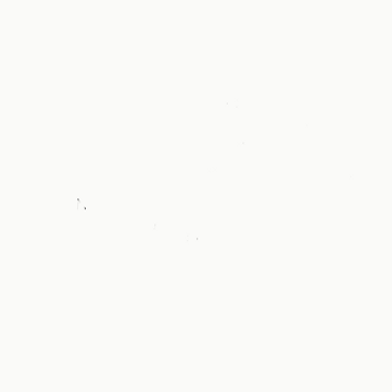 C=C(C(=O)c1ccccc1)C(c1ccccc1)C(CN(C)C)C(=O)c1ccccc1